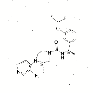 C[C@@H](NC(=O)N1CCN(c2ccncc2F)[C@@H](C)C1)c1cccc(OC(F)F)c1